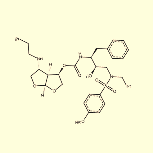 COc1ccc(S(=O)(=O)N(CC(C)C)C[C@@H](O)[C@H](Cc2ccccc2)NC(=O)O[C@H]2CO[C@H]3OC[C@H](NCCC(C)C)[C@H]32)cc1